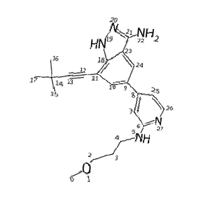 COCCCNc1cc(-c2cc(C#CC(C)(C)C)c3[nH]nc(N)c3c2)ccn1